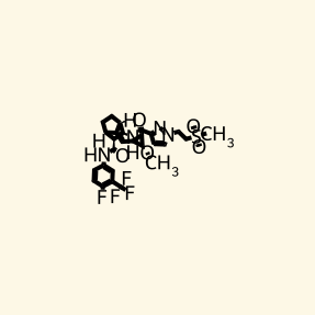 COc1cn(CCS(C)(=O)=O)nc1C(=O)N[C@H]1[C@@H](C(=O)Nc2ccc(F)c(C(F)(F)F)c2)[C@H]2CC[C@@H]1/C2=C\C1CC1